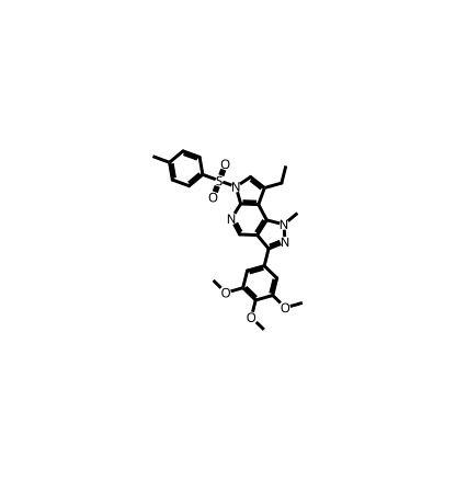 CCc1cn(S(=O)(=O)c2ccc(C)cc2)c2ncc3c(-c4cc(OC)c(OC)c(OC)c4)nn(C)c3c12